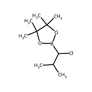 CC(C)C(Cl)B1OC(C)(C)C(C)(C)O1